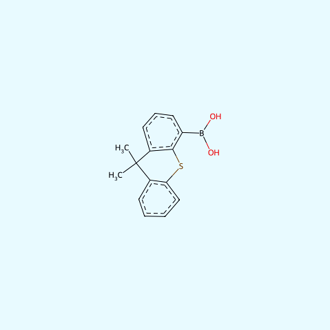 CC1(C)c2ccccc2Sc2c(B(O)O)cccc21